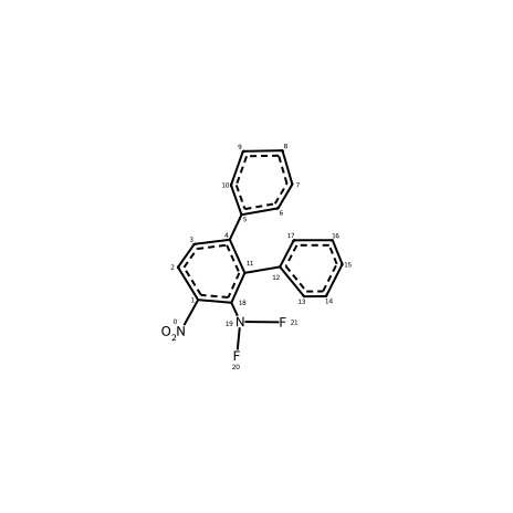 O=[N+]([O-])c1ccc(-c2ccccc2)c(-c2ccccc2)c1N(F)F